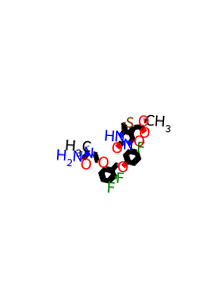 COC(=O)c1scc2[nH]c(=O)n(-c3cc(OCc4c(OCCN(C)C(N)=O)ccc(F)c4F)ccc3F)c(=O)c12